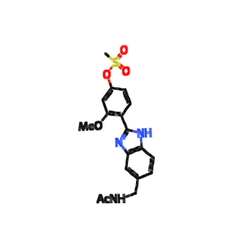 COc1cc(OS(C)(=O)=O)ccc1-c1nc2cc(CNC(C)=O)ccc2[nH]1